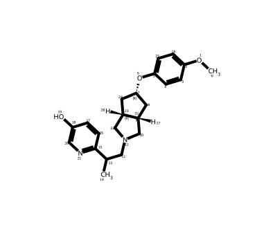 COc1ccc(O[C@@H]2C[C@@H]3CN(CC(C)c4ccc(O)cn4)C[C@@H]3C2)cc1